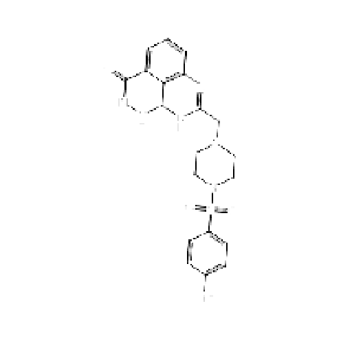 CC(C)c1ccc(S(=O)(=O)N2CCN(CC3=Nc4cccc5c4C(NNC5=O)N3)CC2)cc1